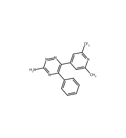 Cc1cc(-c2nnc(N)nc2-c2ccccc2)cc(C(F)(F)F)n1